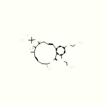 COCOc1cc2c(c(OCOC)c1)C(=O)O[C@@H](C)C/C=C\C(O)[C@@H]1OC(C)(C)O[C@@H]1C/C=C/2